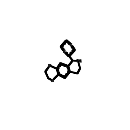 c1ccc(C2NCCc3cc4c(cc32)OCCO4)cc1